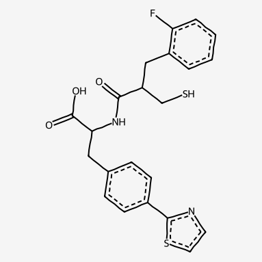 O=C(NC(Cc1ccc(-c2nccs2)cc1)C(=O)O)C(CS)Cc1ccccc1F